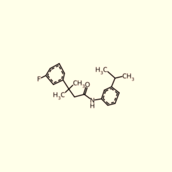 CC(C)c1cccc(NC(=O)CC(C)(C)c2cccc(F)c2)c1